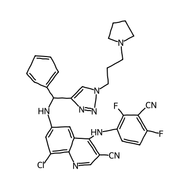 N#Cc1cnc2c(Cl)cc(NC(c3ccccc3)c3cn(CCCN4CCCC4)nn3)cc2c1Nc1ccc(F)c(C#N)c1F